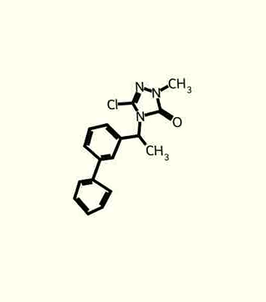 CC(c1cccc(-c2ccccc2)c1)n1c(Cl)nn(C)c1=O